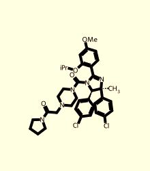 COc1ccc(C2=N[C@@](C)(c3ccc(Cl)cc3)[C@@H](c3ccc(Cl)cc3)N2C(=O)N2CCN(CC(=O)N3CCCC3)CC2)c(OC(C)C)c1